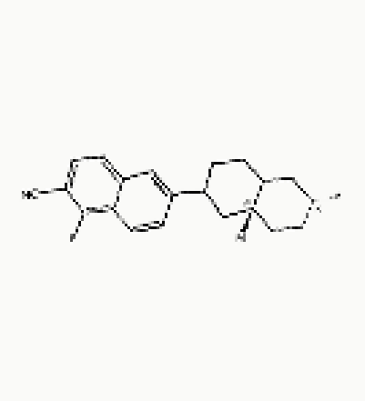 C[C@@H]1CC[C@@H]2CC(c3ccc4c(F)c(C#N)ccc4c3)CCC2C1